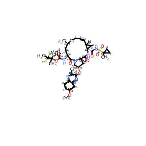 COC[C@@H]1C[C@@H](C)CC/C=C\[C@@H]2C[C@@]2(C(=O)NS(=O)(=O)C2(C)CC2)NC(=O)[C@@H]2C[C@@H](Oc3nc4cc(OC(C)C)ccc4nc3C(F)(F)F)CN2C(=O)[C@H]1NC(=O)OC(C)(C)C(C)(F)F